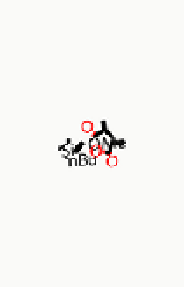 C=C(C)C(=O)OC.C=CC(=O)OCCCC.C=C[Si](C)(C)C